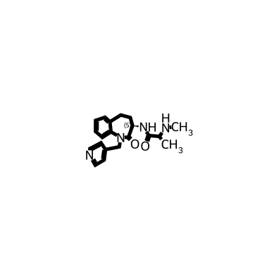 CNC(C)C(=O)N[C@H]1CCc2ccccc2N(Cc2ccncc2)C1=O